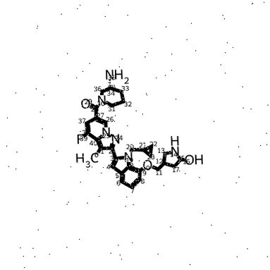 Cc1c(-c2cc3cccc(OCC4CNC(O)C4)c3n2CC2CC2)nn2cc(C(=O)N3CCC[C@@H](N)C3)cc(F)c12